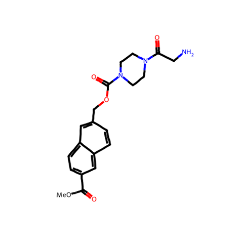 COC(=O)c1ccc2cc(COC(=O)N3CCN(C(=O)CN)CC3)ccc2c1